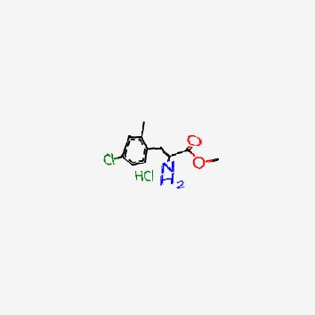 COC(=O)C(N)Cc1ccc(Cl)cc1C.Cl